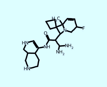 CC12C=CC(F)CN1C(C(C(=O)NC1=CNCC3CNCCC13)C(N)N)C21CCC1